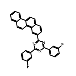 Fc1cccc(-c2nc(-c3cccc(F)c3)nc(-c3ccc4ccc5c6ccccc6ccc5c4c3)n2)c1